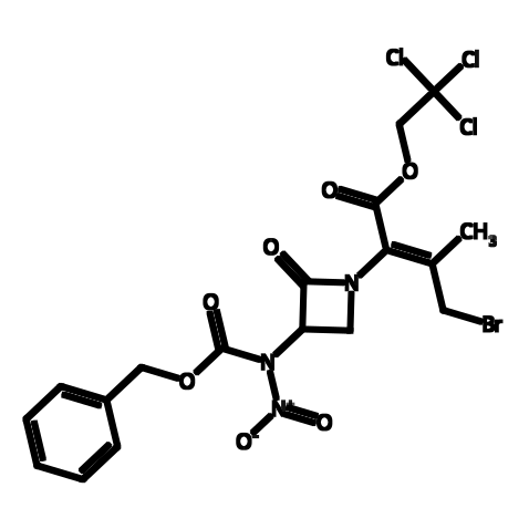 CC(CBr)=C(C(=O)OCC(Cl)(Cl)Cl)N1CC(N(C(=O)OCc2ccccc2)[N+](=O)[O-])C1=O